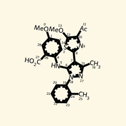 COc1ccc(Nc2c(-c3nc(C(C)=O)c(OC)s3)c(C)nn2-c2ccccc2C)c(C(=O)O)c1